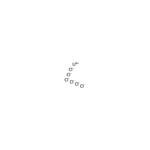 [Cl-].[Cl-].[Cl-].[Cl-].[Cl-].[Cl-].[U+6]